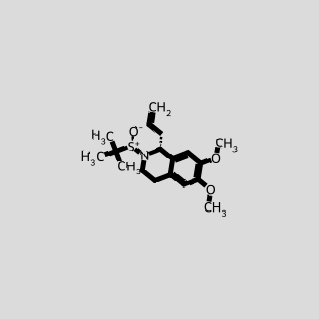 C=CC[C@@H]1c2cc(OC)c(OC)cc2CCN1[S@@+]([O-])C(C)(C)C